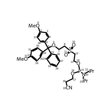 COc1ccc(C(OCCS(=O)(=O)CCOP(OCCC#N)N(C(C)C)C(C)C)(c2ccccc2)c2ccc(OC)cc2)cc1